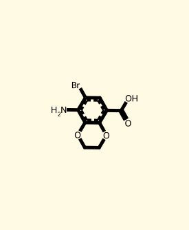 Nc1c(Br)cc(C(=O)O)c2c1OCCO2